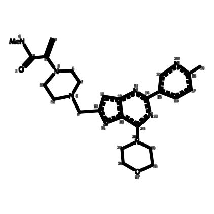 C=C(C(=O)NC)N1CCN(Cc2cc3nc(-c4ccc(C)nc4)nc(N4CCOCC4)c3s2)CC1